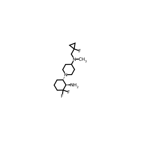 CN(CC1(F)CC1)C1CCN([C@H]2CCCC(F)(F)[C@@H]2N)CC1